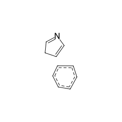 C1=CN=CC1.c1ccccc1